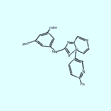 COc1cc(NC2=N[N+]3(c4ccc(C#N)nc4)C=CN=CC3=N2)cc(OC)c1